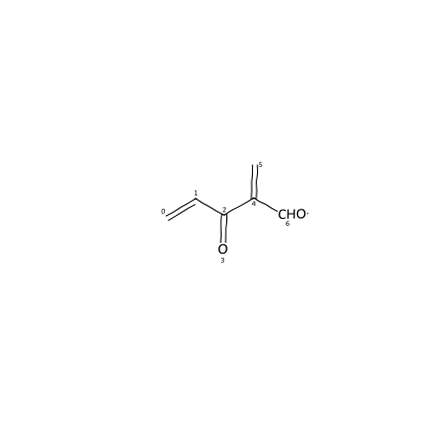 C=CC(=O)C(=C)[C]=O